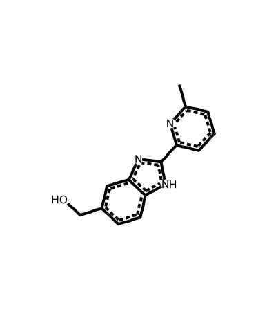 Cc1cccc(-c2nc3cc(CO)ccc3[nH]2)n1